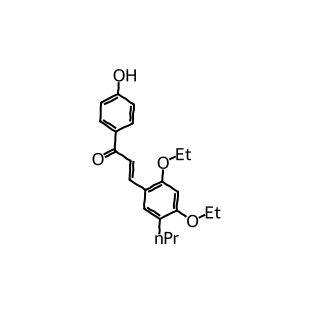 CCCc1cc(C=CC(=O)c2ccc(O)cc2)c(OCC)cc1OCC